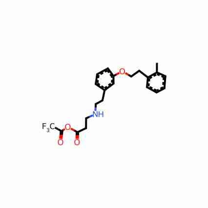 Cc1ccccc1CCOc1cccc(CCNCCC(=O)OC(=O)C(F)(F)F)c1